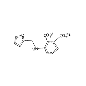 CCOC(=O)c1cccc(NCc2ccco2)c1C(=O)O